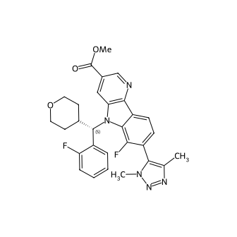 COC(=O)c1cnc2c3ccc(-c4c(C)nnn4C)c(F)c3n([C@H](c3ccccc3F)C3CCOCC3)c2c1